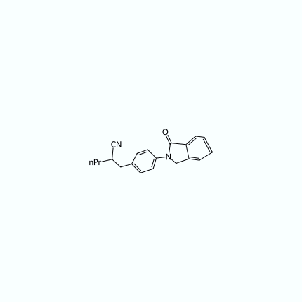 CCCC(C#N)Cc1ccc(N2Cc3ccccc3C2=O)cc1